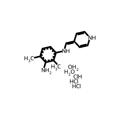 Cc1ccc(NC=C2C=CNC=C2)c(C)c1N.Cl.Cl.Cl.O.O